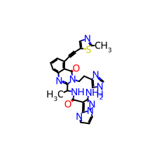 Cc1ncc(C#Cc2cccc3nc(C(C)NC(=O)c4c(N)nn5cccnc45)n(CCc4c[nH]cn4)c(=O)c23)s1